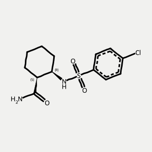 NC(=O)[C@H]1CCCC[C@H]1NS(=O)(=O)c1ccc(Cl)cc1